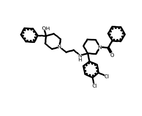 O=C(c1ccccc1)N1CCCC(NCCN2CCC(O)(c3ccccc3)CC2)(c2ccc(Cl)c(Cl)c2)C1